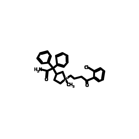 C[N+]1(CCCC(=O)c2ccccc2Cl)CCC(C(C(N)=O)(c2ccccc2)c2ccccc2)C1